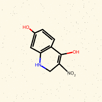 O=[N+]([O-])C1=C(O)c2ccc(O)cc2NC1